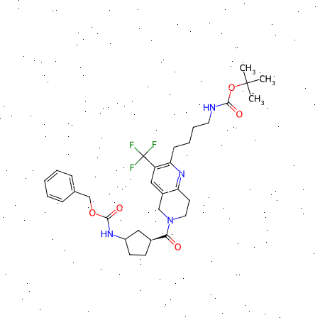 CC(C)(C)OC(=O)NCCCCc1nc2c(cc1C(F)(F)F)CN(C(=O)[C@H]1CCC(NC(=O)OCc3ccccc3)C1)CC2